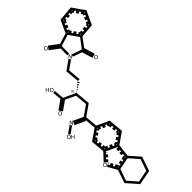 O=C(O)[C@H](CCN1C(=O)c2ccccc2C1=O)CC(=NO)c1ccc2c3c(oc2c1)CCCC3